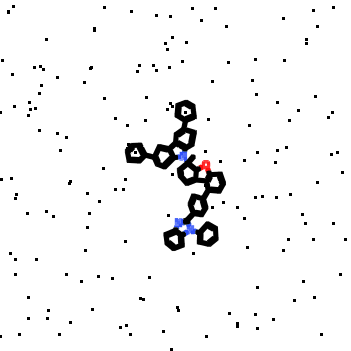 CC1(n2c3ccc(-c4ccccc4)cc3c3cc(-c4ccccc4)ccc32)C=CC=C2c3c(cccc3-c3ccc(-c4nc5ccccc5n4-c4ccccc4)cc3)OC21